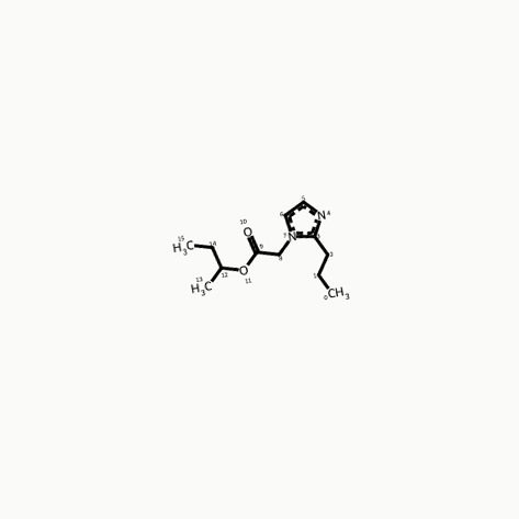 CCCc1nccn1CC(=O)OC(C)CC